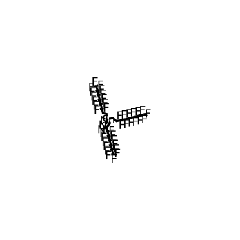 [N-]=[N+]=[N][Sn]([CH2]CC(F)(F)C(F)(F)C(F)(F)C(F)(F)C(F)(F)C(F)(F)F)([CH2]CC(F)(F)C(F)(F)C(F)(F)C(F)(F)C(F)(F)C(F)(F)F)[CH2]CC(F)(F)C(F)(F)C(F)(F)C(F)(F)C(F)(F)C(F)(F)F